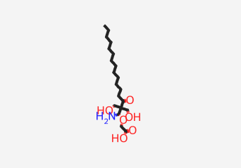 CCCCCCCCCCCCCC(=O)C(CO)(CO)C(N)OCC(=O)O